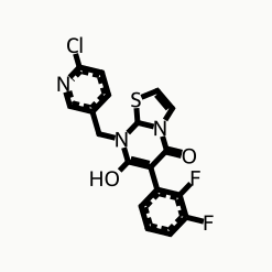 O=C1C(c2cccc(F)c2F)=C(O)N(Cc2ccc(Cl)nc2)C2SC=CN12